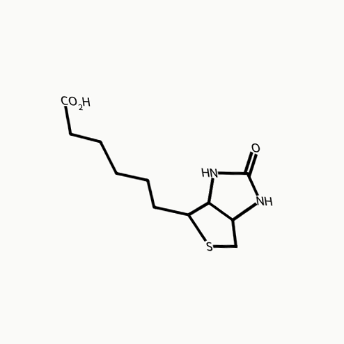 O=C(O)CCCCCC1SCC2NC(=O)NC21